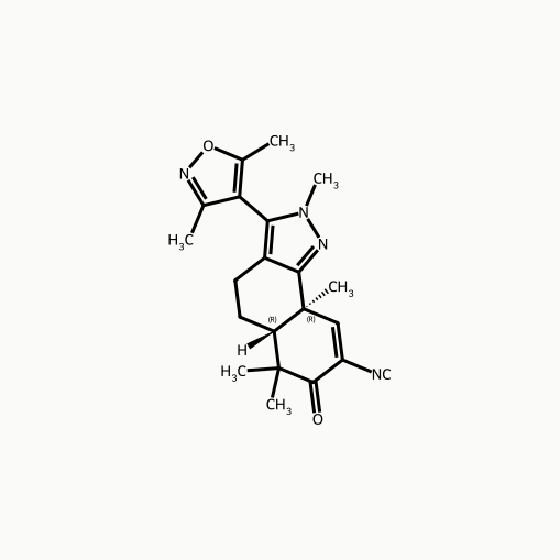 [C-]#[N+]C1=C[C@]2(C)c3nn(C)c(-c4c(C)noc4C)c3CC[C@H]2C(C)(C)C1=O